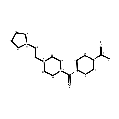 CC(=O)[C@H]1CC[C@H](C(=O)N2CCN(CCN3CCCC3)CC2)CC1